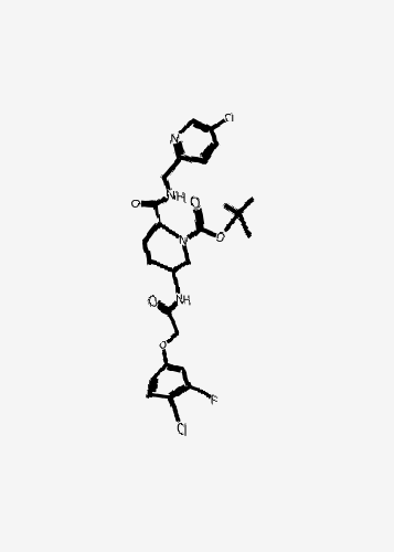 CC(C)(C)OC(=O)N1CC(NC(=O)COc2ccc(Cl)c(F)c2)CC[C@H]1C(=O)NCc1ccc(Cl)cn1